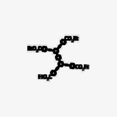 CCOC(=O)c1ccc(C#Cc2cc(C#Cc3ccc(C(=O)OCC)cc3)cc(-c3ccc(-c4cc(C#Cc5ccc(C(=O)OCC)cc5)cc(C#Cc5ccc(C(=O)OCC)cc5)c4)cc3)c2)cc1